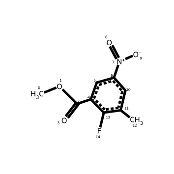 COC(=O)c1cc([N+](=O)[O-])cc(C)c1F